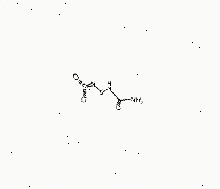 NC(=O)NSN=S(=O)=O